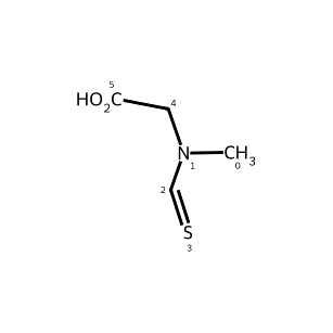 CN(C=S)CC(=O)O